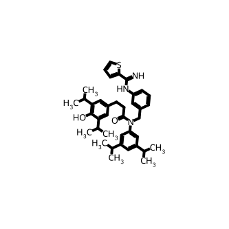 CC(C)c1cc(C(C)C)cc(N(Cc2cccc(NC(=N)c3cccs3)c2)C(=O)CCc2cc(C(C)C)c(O)c(C(C)C)c2)c1